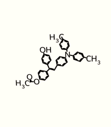 CC(=O)Oc1ccc(C(=Cc2ccc(N(c3ccc(C)cc3)c3ccc(C)cc3)cc2)c2ccc(O)cc2)cc1